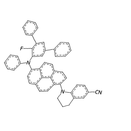 N#Cc1ccc2c(c1)CCCN2c1ccc2ccc3c(N(c4ccccc4)c4cc(-c5ccccc5)cc(-c5ccccc5)c4F)ccc4ccc1c2c43